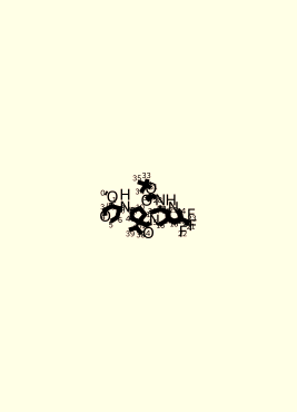 CO[C@@H]1COCC[C@@H]1N[C@@H]1CC[C@@](C(=O)N2Cc3cc(C(F)(F)F)cnc3[C@H](NC(=O)OC(C)(C)C)C2)(C(C)C)C1